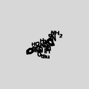 CC(C)C(NC[C@@H](O)[C@H](Cc1ccccc1)NC(=O)OC(C)(C)C)S(=O)(=O)c1ccc2nc(N)sc2c1